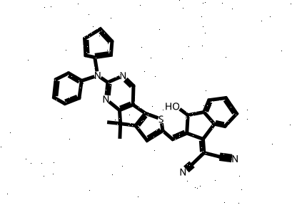 CC1(C)c2cc(/C=C3/C(=C(C#N)C#N)c4ccccc4C3O)sc2-c2cnc(N(c3ccccc3)c3ccccc3)nc21